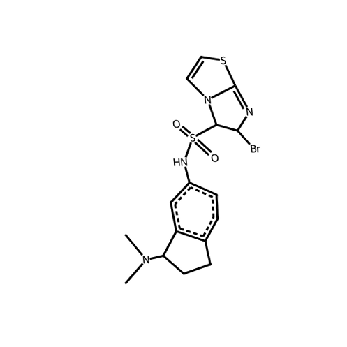 CN(C)C1CCc2ccc(NS(=O)(=O)C3C(Br)N=C4SC=CN43)cc21